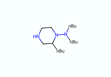 CCCCC1CNCCN1N(CCCC)CCCC